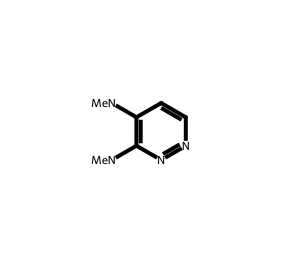 CNc1ccnnc1NC